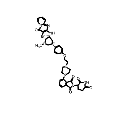 CN1C[C@H](Nc2nc3ccccn3c(=O)c2Br)C[C@H](c2ccc(OCCN3CCN(c4cccc5c4C(=O)N(C4CCC(=O)NC4=O)C5=O)CC3)cc2)C1